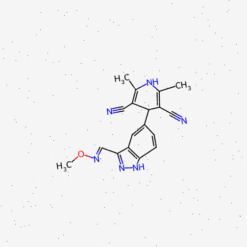 CON=Cc1n[nH]c2ccc(C3C(C#N)=C(C)NC(C)=C3C#N)cc12